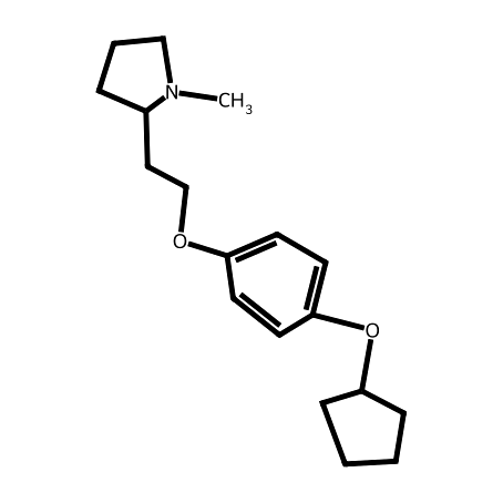 CN1CCCC1CCOc1ccc(OC2CCCC2)cc1